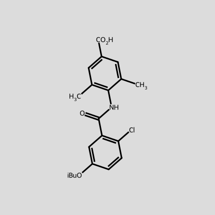 Cc1cc(C(=O)O)cc(C)c1NC(=O)c1cc(OCC(C)C)ccc1Cl